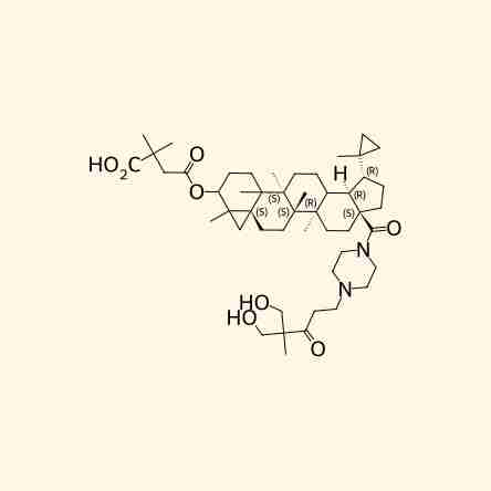 CC(C)(CC(=O)OC1CCC2(C)[C@]3(CC[C@@]4(C)[C@]5(C)CC[C@@]6(C(=O)N7CCN(CCC(=O)C(C)(CO)CO)CC7)CC[C@@H](C7(C)CC7)[C@@H]6C5CC[C@]24C)CC13C)C(=O)O